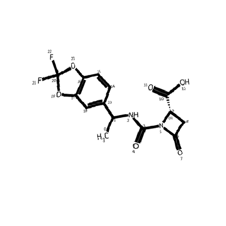 CC(NC(=O)N1C(=O)C[C@H]1C(=O)O)c1ccc2c(c1)OC(F)(F)O2